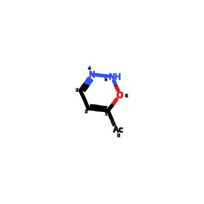 CC(=O)C1=CC=NNO1